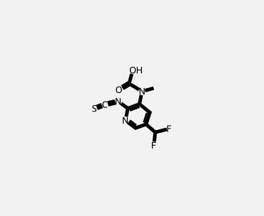 CN(C(=O)O)c1cc(C(F)F)cnc1N=C=S